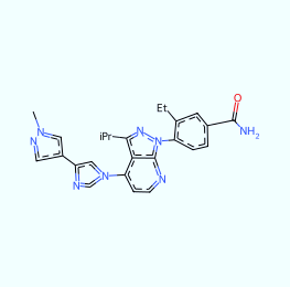 CCc1cc(C(N)=O)ccc1-n1nc(C(C)C)c2c(-n3cnc(-c4cnn(C)c4)c3)ccnc21